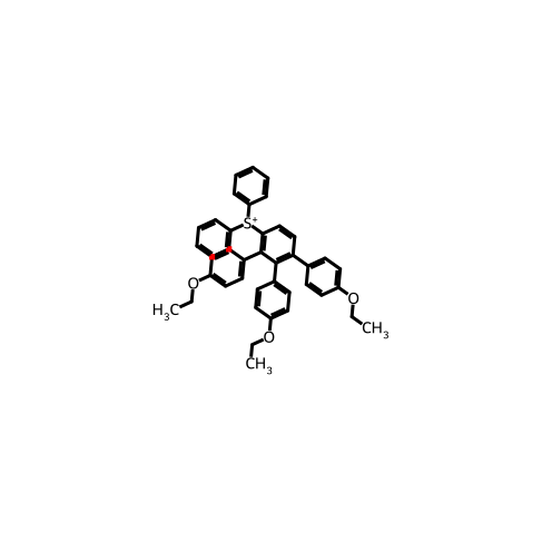 CCOc1ccc(-c2ccc([S+](c3ccccc3)c3ccccc3)c(-c3ccc(OCC)cc3)c2-c2ccc(OCC)cc2)cc1